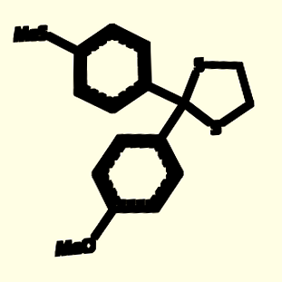 COc1ccc(C2(c3ccc(SC)cc3)SCCS2)cc1